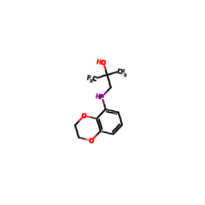 OC(CPc1cccc2c1OCCO2)(C(F)(F)F)C(F)(F)F